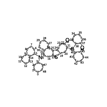 c1ccc(N(c2cccc3ccccc23)c2cc3sc4cc5c(cc4c3c3ccccc23)Oc2cccc3c2B5c2ccccc2O3)cc1